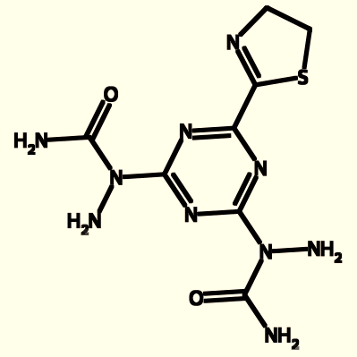 NC(=O)N(N)c1nc(C2=NCCS2)nc(N(N)C(N)=O)n1